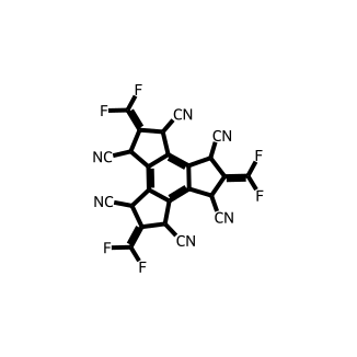 N#CC1C(=C(F)F)C(C#N)c2c1c1c(c3c2C(C#N)C(=C(F)F)C3C#N)C(C#N)C(=C(F)F)C1C#N